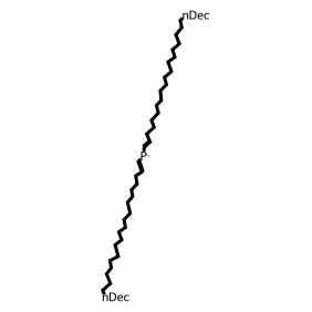 CCCCCCCCCCCCCCCCCCCCCCCCCCC/C=C/[P]/C=C/CCCCCCCCCCCCCCCCCCCCCCCCCCC